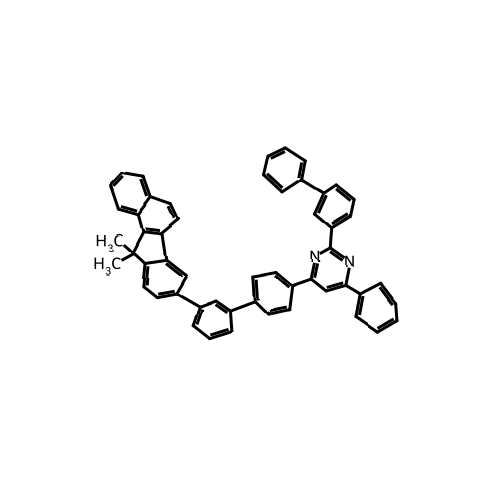 CC1(C)c2ccc(-c3cccc(-c4ccc(-c5cc(-c6ccccc6)nc(-c6cccc(-c7ccccc7)c6)n5)cc4)c3)cc2-c2ccc3ccccc3c21